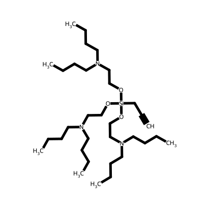 C#CC[Si](OCCN(CCCC)CCCC)(OCCN(CCCC)CCCC)OCCN(CCCC)CCCC